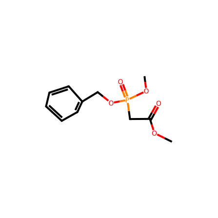 COC(=O)CP(=O)(OC)OCc1ccccc1